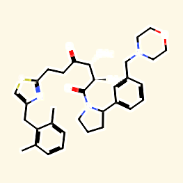 CC(=O)O[C@@H](C(=O)CCc1nc(Cc2c(C)cccc2C)cs1)[C@@H](OC(C)=O)C(=O)N1CCCC1c1cccc(CN2CCOCC2)c1